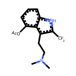 CC(=O)Oc1cccc2[nH]c(C(F)(F)F)c(CCN(C)C)c12